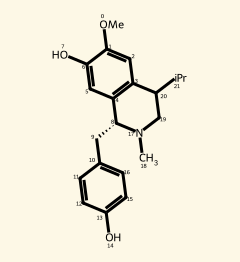 COc1cc2c(cc1O)[C@@H](Cc1ccc(O)cc1)N(C)CC2C(C)C